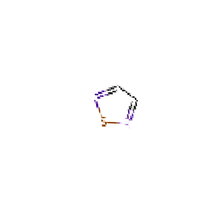 C1=ISI=C1